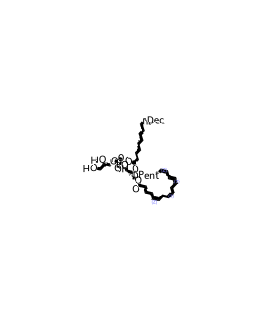 CCCCC/C=C\C/C=C\C/C=C\C/C=C\CCCC(=O)OC[C@H](COP(=O)(O)OC[C@@H](O)CO)OC(=O)CCCCCCCCCCCCCCCCCC